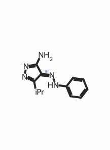 CC(C)C1=NN=C(N)/C1=N/Nc1ccccc1